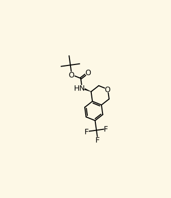 CC(C)(C)OC(=O)N[C@H]1COCc2cc(C(F)(F)F)ccc21